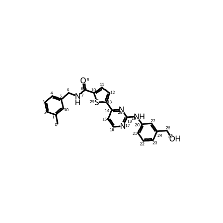 Cc1cccc(CNC(=O)c2ccc(-c3ccnc(Nc4cccc(CO)c4)n3)s2)c1